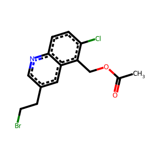 CC(=O)OCc1c(Cl)ccc2ncc(CCBr)cc12